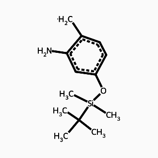 [CH2]c1ccc(O[Si](C)(C)C(C)(C)C)cc1N